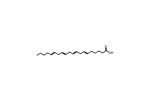 CCCCC=CCC=CCC=CCC=CCCCCC(=O)O